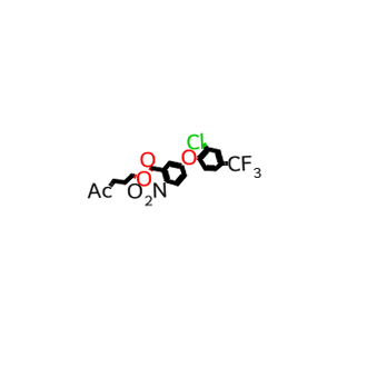 CC(=O)CCCOC(=O)c1cc(Oc2ccc(C(F)(F)F)cc2Cl)ccc1[N+](=O)[O-]